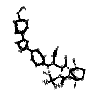 COc1ncc(-c2cn(-c3ccc(C[C@@H](C#N)NC(=O)[C@@H]4[C@H]5CC[C@H](C5)N4C(=O)OC(C)(C)C)cc3)nn2)cn1